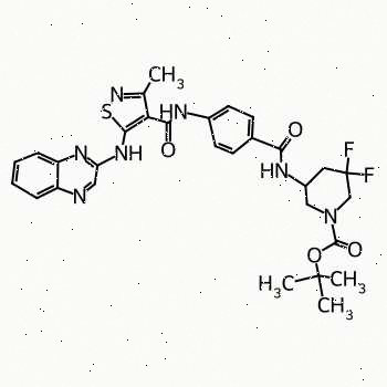 Cc1nsc(Nc2cnc3ccccc3n2)c1C(=O)Nc1ccc(C(=O)NC2CN(C(=O)OC(C)(C)C)CC(F)(F)C2)cc1